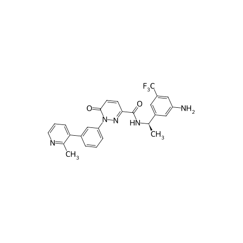 Cc1ncccc1-c1cccc(-n2nc(C(=O)N[C@H](C)c3cc(N)cc(C(F)(F)F)c3)ccc2=O)c1